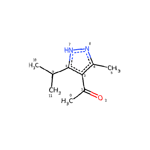 CC(=O)c1c(C)n[nH]c1C(C)C